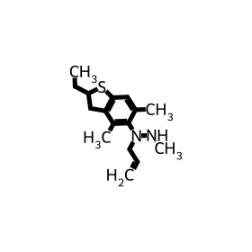 C=CCN(NC)c1c(C)cc2c(c1C)CC(CC)S2